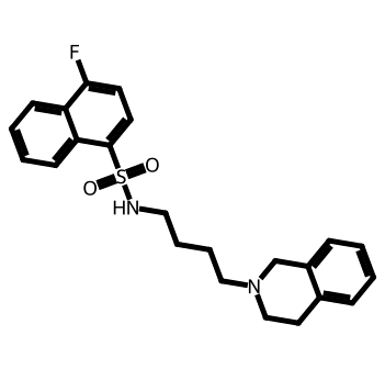 O=S(=O)(NCCCCN1CCc2ccccc2C1)c1ccc(F)c2ccccc12